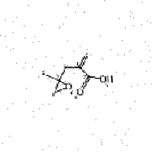 C=C(CC1(C)CO1)C(=O)O